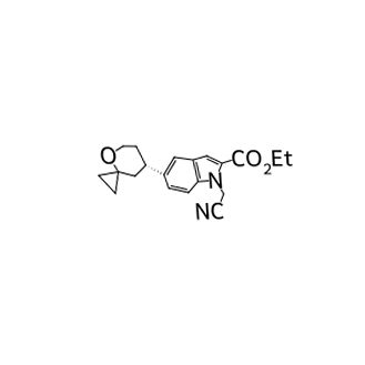 CCOC(=O)c1cc2cc([C@H]3CCOC4(CC4)C3)ccc2n1CC#N